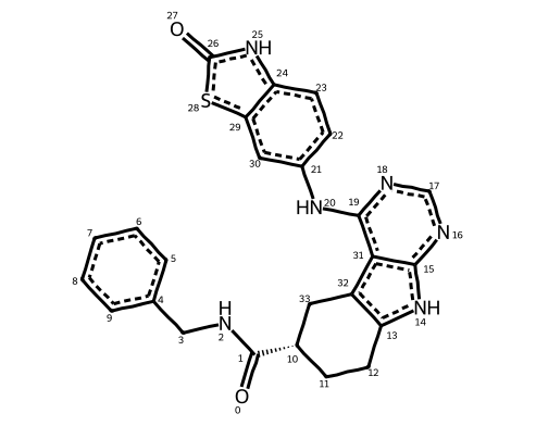 O=C(NCc1ccccc1)[C@H]1CCc2[nH]c3ncnc(Nc4ccc5[nH]c(=O)sc5c4)c3c2C1